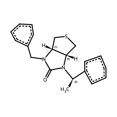 C[C@H](c1ccccc1)N1C(=O)N(Cc2ccccc2)[C@@H]2[CH]SC[C@@H]21